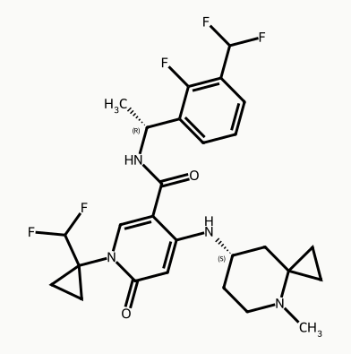 C[C@@H](NC(=O)c1cn(C2(C(F)F)CC2)c(=O)cc1N[C@H]1CCN(C)C2(CC2)C1)c1cccc(C(F)F)c1F